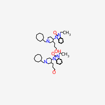 CCn1c(=O)n(C2CCN(CC3CCCCCCC3)CC2CCC=O)c2ccccc21.CCn1c(=O)n(C2CCN(CC3CCCCCCC3)CC2CCCO)c2ccccc21